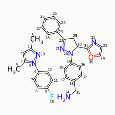 Cc1cc(C)n(-c2ccc(F)cc2)n1.NCc1ccc(N2N=C(c3ccccc3)CC2c2ncco2)cc1